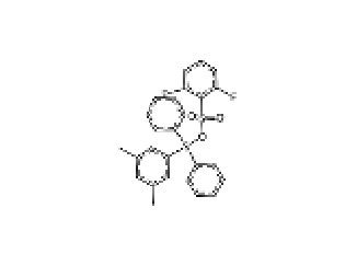 Cc1cc(C)cc(S(OS(=O)(=O)c2c(F)cccc2F)(c2ccccc2)c2ccccc2)c1